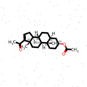 CC(=O)O[C@H]1CC[C@@]2(C)[C@@H](CC[C@@H]3[C@@H]2CC[C@]2(C)C(C(C)=O)=CC[C@@H]32)C1